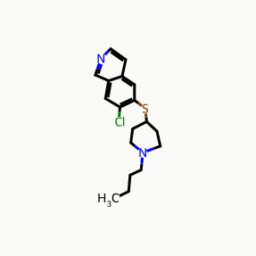 CCCCN1CCC(Sc2cc3ccncc3cc2Cl)CC1